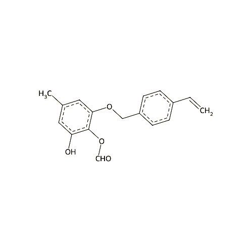 C=Cc1ccc(COc2cc(C)cc(O)c2OC=O)cc1